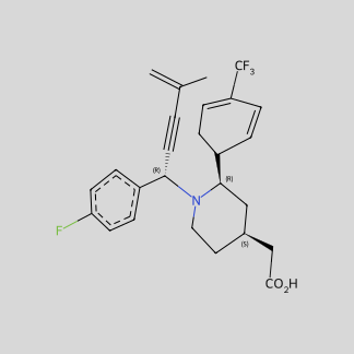 C=C(C)C#C[C@@H](c1ccc(F)cc1)N1CC[C@H](CC(=O)O)C[C@@H]1C1C=CC(C(F)(F)F)=CC1